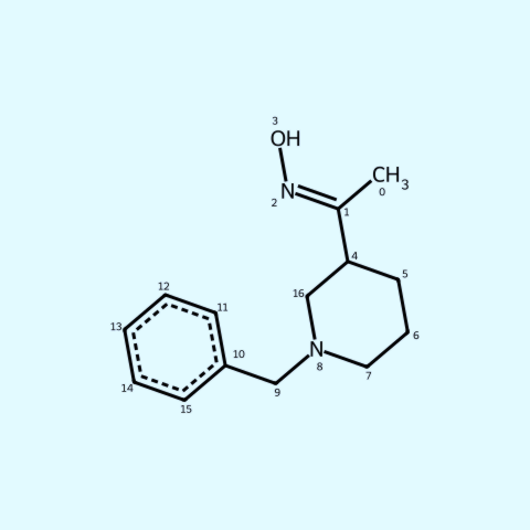 CC(=NO)C1CCCN(Cc2ccccc2)C1